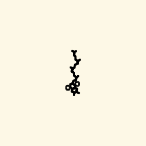 CC(C)=CCCC(C)=CCCC(C)=CCCC(C)=CCC1=CC(=O)c2cc(C)c(C)cc2C1=O